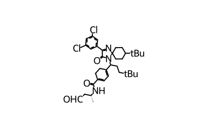 C[C@H](CC=O)NC(=O)C1=CC=C(C(CCC(C)(C)C)N2C(=O)C(c3cc(Cl)cc(Cl)c3)=NC23CCC(C(C)(C)C)CC3)CC1